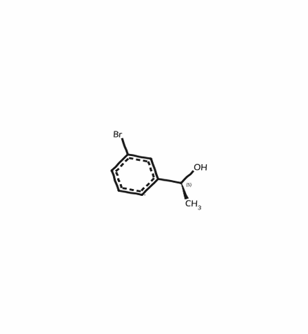 C[C@H](O)c1[c]ccc(Br)c1